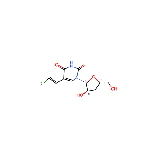 O=c1[nH]c(=O)n([C@@H]2O[C@H](CO)C[C@H]2O)cc1C=CCl